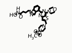 CS(=O)(=O)N1CCN(Cc2cc3nc(C4=CC=CC5C4C=NN5CCCC(=O)NO)nc(N4CCOCC4)c3s2)CC1